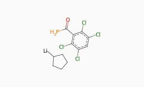 O=C(P)c1c(Cl)c(Cl)cc(Cl)c1Cl.[Li][CH]1CCCC1